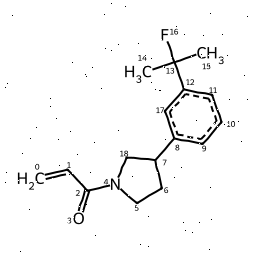 C=CC(=O)N1CCC(c2cccc(C(C)(C)F)c2)C1